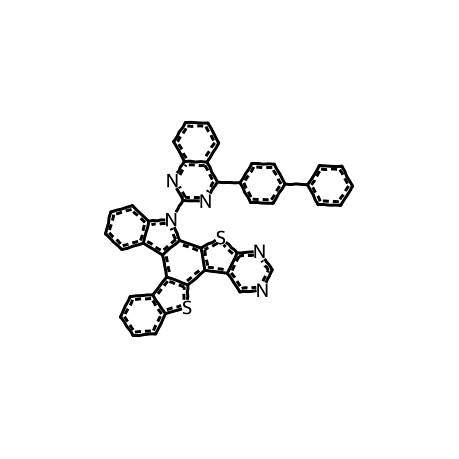 c1ccc(-c2ccc(-c3nc(-n4c5ccccc5c5c6c7ccccc7sc6c6c7cncnc7sc6c54)nc4ccccc34)cc2)cc1